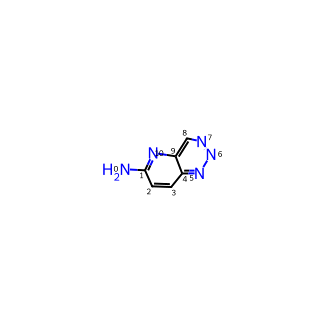 Nc1ccc2nnncc2n1